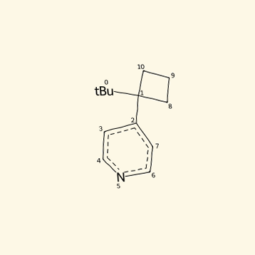 CC(C)(C)C1(c2ccncc2)CCC1